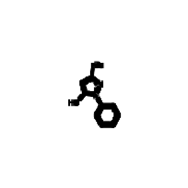 CCCCc1cc(O)n(-c2ccccc2)n1